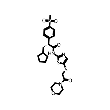 CS(=O)(=O)c1ccc([C@@H](CC2CCCC2)C(=O)Nc2ncc(SCC(=O)N3CCOCC3)s2)cc1